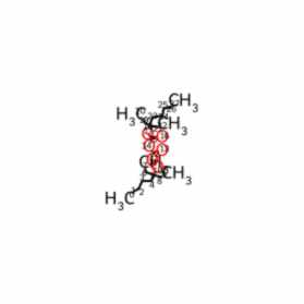 CCCCCC(CC)(CC)OOC(=O)OC(=O)OC(CC)(CC)CCCCC